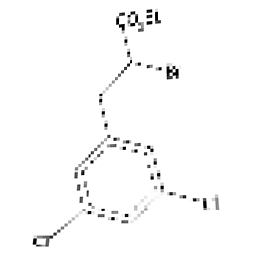 CCOC(=O)C(Br)Cc1cc(Cl)cc(Cl)c1